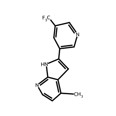 Cc1ccnc2[nH]c(-c3cncc(C(F)(F)F)c3)cc12